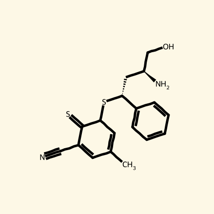 CC1=CC(S[C@H](C[C@H](N)CO)c2ccccc2)C(=S)C(C#N)=C1